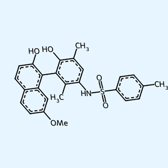 COc1ccc2ccc(O)c(-c3c(C)c(NS(=O)(=O)c4ccc(C)cc4)cc(C)c3O)c2c1